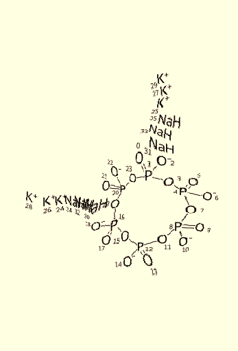 O=P1([O-])OP(=O)([O-])OP(=O)([O-])OP(=O)([O-])OP(=O)([O-])OP(=O)([O-])O1.[K+].[K+].[K+].[K+].[K+].[K+].[NaH].[NaH].[NaH].[NaH].[NaH].[NaH]